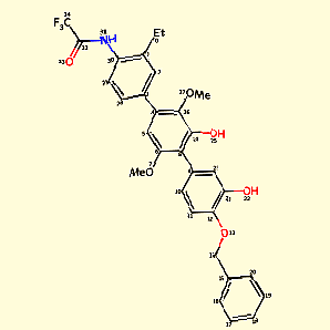 CCc1cc(-c2cc(OC)c(-c3ccc(OCc4ccccc4)c(O)c3)c(O)c2OC)ccc1NC(=O)C(F)(F)F